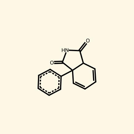 O=C1NC(=O)C2(c3ccccc3)C=CC=CC12